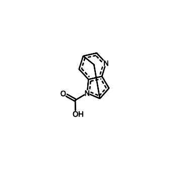 O=C(O)n1c2cc3ncc(cc31)C2